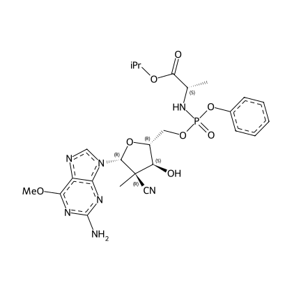 COc1nc(N)nc2c1ncn2[C@@H]1O[C@H](COP(=O)(N[C@@H](C)C(=O)OC(C)C)Oc2ccccc2)[C@@H](O)[C@@]1(C)C#N